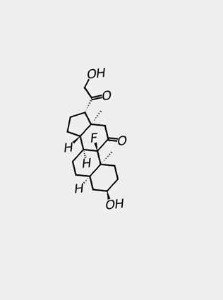 C[C@]12CC(=O)[C@@]3(F)[C@@H](CC[C@@H]4C[C@H](O)CC[C@@]43C)[C@@H]1CC[C@@H]2C(=O)CO